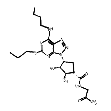 CCCCNc1nc(SCCC)nc2c1nnn2[C@@H]1C[C@H](C(=O)NCC(N)=O)[C@@H](O)[C@H]1O